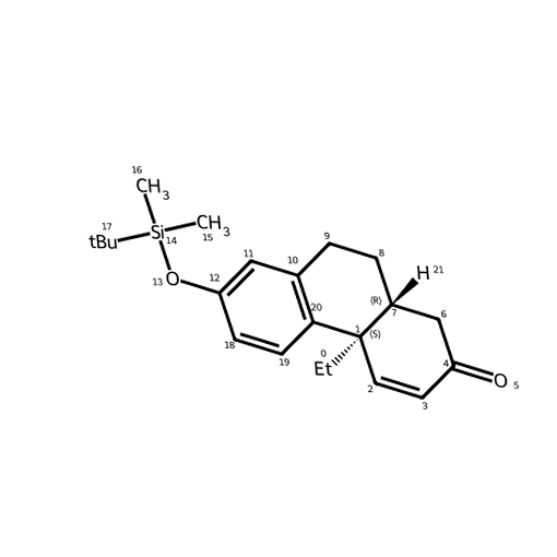 CC[C@@]12C=CC(=O)C[C@H]1CCc1cc(O[Si](C)(C)C(C)(C)C)ccc12